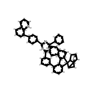 c1ccc(-c2nc(-c3ccc(-c4cccc5cccnc45)cc3)nc(-c3cccc(-c4cccc5c4-c4c(ccc6ccccc46)C54C5CC6CC(C5)C4C6)c3)n2)cc1